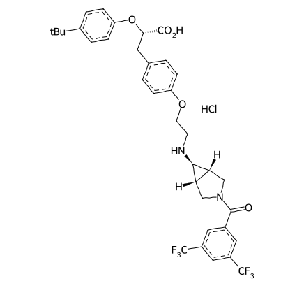 CC(C)(C)c1ccc(O[C@@H](Cc2ccc(OCCN[C@H]3[C@@H]4CN(C(=O)c5cc(C(F)(F)F)cc(C(F)(F)F)c5)C[C@@H]43)cc2)C(=O)O)cc1.Cl